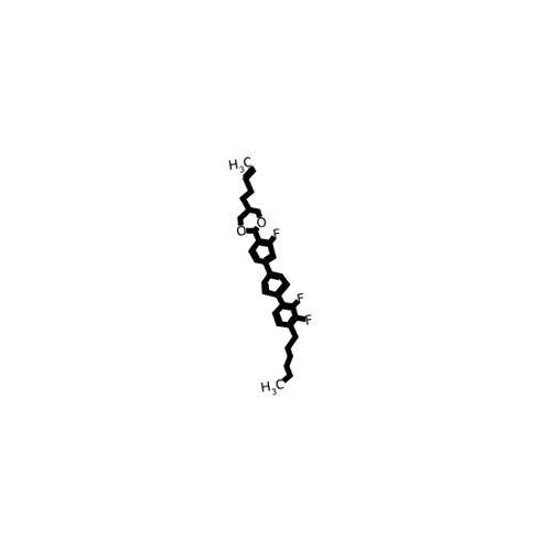 C/C=C/CCC1COC(c2ccc(-c3ccc(-c4ccc(CCCCCC)c(F)c4F)cc3)cc2F)OC1